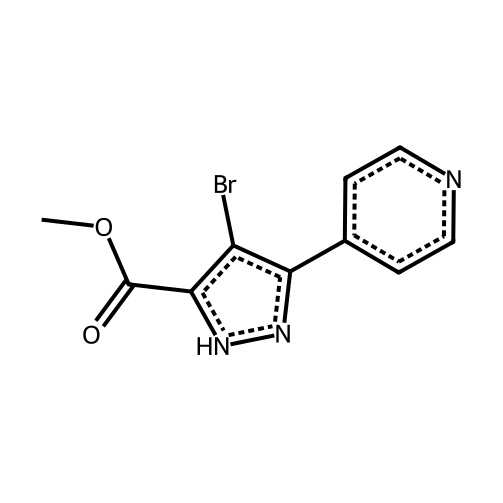 COC(=O)c1[nH]nc(-c2ccncc2)c1Br